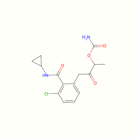 CC(OC(N)=O)C(=O)Cc1cccc(Cl)c1C(=O)NC1CC1